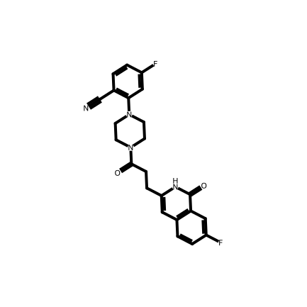 N#Cc1ccc(F)cc1N1CCN(C(=O)CCc2cc3ccc(F)cc3c(=O)[nH]2)CC1